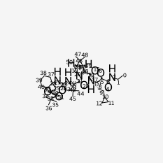 CCNC(=O)C(=O)[C@H](CCC1CC1)NC(=O)[C@@H]1[C@@H]2[C@H](CN1C(=O)[C@@H](NC(=O)NC1(CS(=O)(=O)C(C)(C)C)CCCCC1)C(C)(C)C)C2(C)C